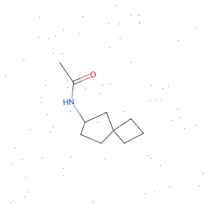 CC(=O)NC1CCC2(CCC2)C1